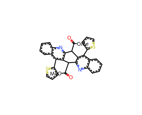 COC(=O)C1c2nc3ccccc3c(-c3cccs3)c2C(C(=O)OC)c2nc3ccccc3c(-c3cccs3)c21